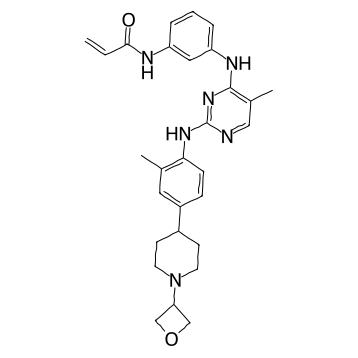 C=CC(=O)Nc1cccc(Nc2nc(Nc3ccc(C4CCN(C5COC5)CC4)cc3C)ncc2C)c1